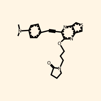 CN(C)c1ccc(C#Cc2nc3cscc3nc2OCCCN2CCCC2=O)cc1